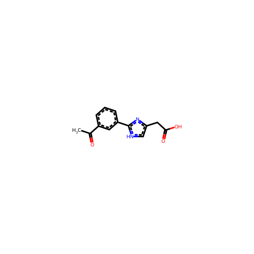 CC(=O)c1cccc(-c2nc(CC(=O)O)c[nH]2)c1